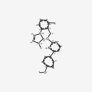 COc1ccc(-c2ccnc(OCc3c(C)cccc3N3CN(C)N=N3)n2)cc1